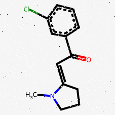 CN1CCCC1=CC(=O)c1cccc(Cl)c1